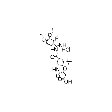 CCOc1cc2c(c(F)c1OCC)C(=N)N(CC(=O)c1cc3c(c(C(C)(C)C)c1)OC(CC(=O)O)C(=O)N3)C2.Cl